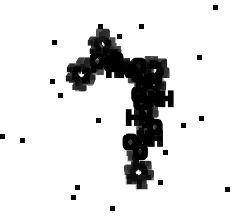 O=C(CNC(=O)OCc1ccccc1)NCC(=O)N[C@@H](Cc1ccccc1)C(=O)NCC(=O)NCOCC1(C(=O)OCc2ccccc2)CCCC1